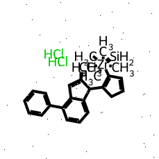 CC1=Cc2c(-c3ccccc3)cccc2C1C1=[C]([Zr]([CH3])([CH3])([CH3])([CH3])([CH3])=[SiH2])C=CC1.Cl.Cl